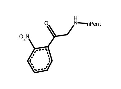 CCCCCNCC(=O)c1ccccc1[N+](=O)[O-]